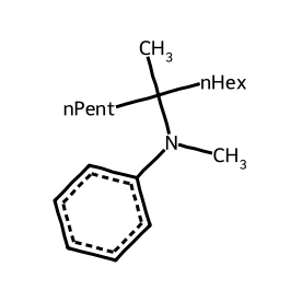 CCCCCCC(C)(CCCCC)N(C)c1ccccc1